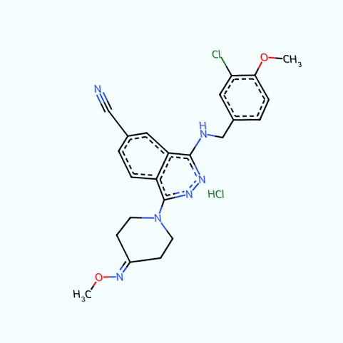 CON=C1CCN(c2nnc(NCc3ccc(OC)c(Cl)c3)c3cc(C#N)ccc23)CC1.Cl